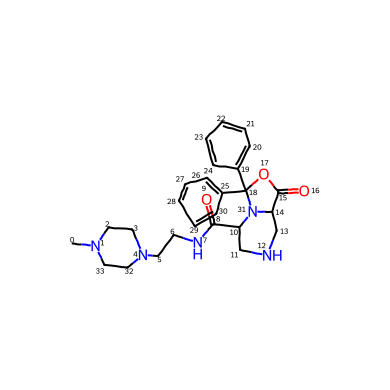 CN1CCN(CCNC(=O)C2CNCC3C(=O)OC(c4ccccc4)(c4ccccc4)N23)CC1